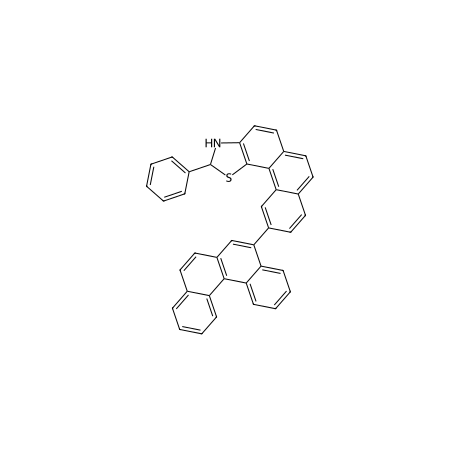 c1ccc(C2Nc3ccc4ccc5ccc(-c6cc7ccc8ccccc8c7c7ccccc67)cc5c4c3S2)cc1